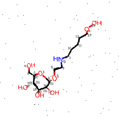 OC[C@H]1O[C@H](OCCNCCCCCOO)[C@@H](O)[C@@H](O)[C@@H]1O